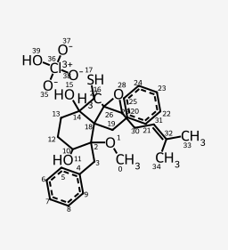 COC1(Cc2ccccc2)C(O)CCC(O)(CS)C1(Cc1ccccc1)C1(C)OC1CC=C(C)C.[O-][Cl+3]([O-])([O-])O